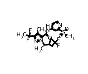 Cc1c(C(C)(F)F)nn([C@H](C)C2CC(F)(F)C2)c1C(=O)Nc1ccnc(S(C)(=O)=O)c1